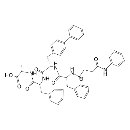 C[C@H](NC(=O)[C@@H](Cc1ccccc1)NC(=O)[C@H](Cc1ccc(-c2ccccc2)cc1)NC(=O)[C@@H](Cc1ccccc1)NC(=O)CCC(=O)Nc1ccccc1)C(=O)O